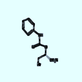 CC(C)C[C@H](OC(=O)Nc1ccccc1)C(=O)O